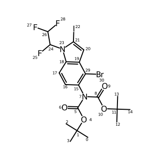 CC(C)(C)OC(=O)N(C(=O)OC(C)(C)C)c1ccc2c(cc(I)n2C(F)C(F)F)c1Br